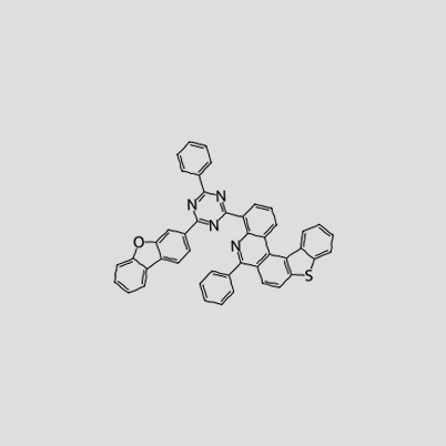 c1ccc(-c2nc(-c3ccc4c(c3)oc3ccccc34)nc(-c3cccc4c3nc(-c3ccccc3)c3ccc5sc6ccccc6c5c34)n2)cc1